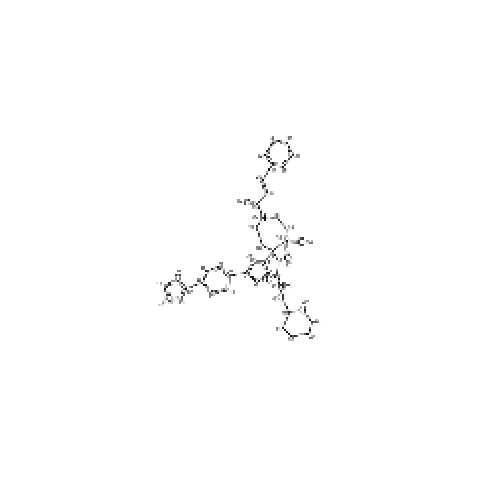 O=C(CC1(c2ccc(-c3ccc(-c4cnco4)cc3)s2)CCN(C(=O)/C=C/c2ccccc2)CCS1(=O)=O)NOC1CCCCO1